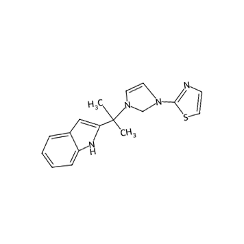 CC(C)(c1cc2ccccc2[nH]1)N1C=CN(c2nccs2)C1